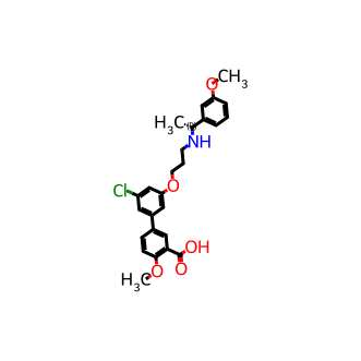 COc1cccc([C@@H](C)NCCCOc2cc(Cl)cc(-c3ccc(OC)c(C(=O)O)c3)c2)c1